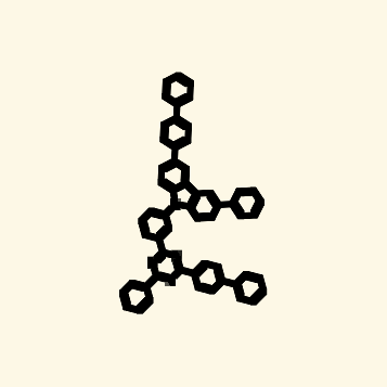 c1ccc(-c2ccc(-c3ccc4c(c3)c3cc(-c5ccccc5)ccc3n4-c3cccc(-c4nc(-c5ccccc5)nc(-c5ccc(-c6ccccc6)cc5)n4)c3)cc2)cc1